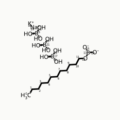 CCCCCCCCCCCCOB([O-])[O-].OB(O)O.OB(O)O.OB(O)O.[K+].[Na+]